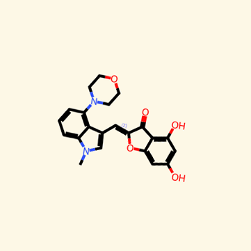 Cn1cc(/C=C2\Oc3cc(O)cc(O)c3C2=O)c2c(N3CCOCC3)cccc21